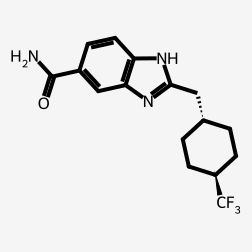 NC(=O)c1ccc2[nH]c(C[C@H]3CC[C@H](C(F)(F)F)CC3)nc2c1